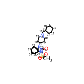 CS(=O)(=O)n1c(=O)n(C2CCN(CC3CCCCC3)CC2)c2ccccc21